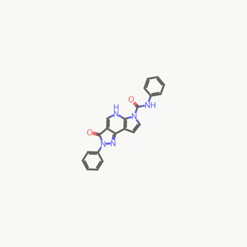 O=C(Nc1ccccc1)n1ccc2c3nn(-c4ccccc4)c(=O)c-3c[nH]c21